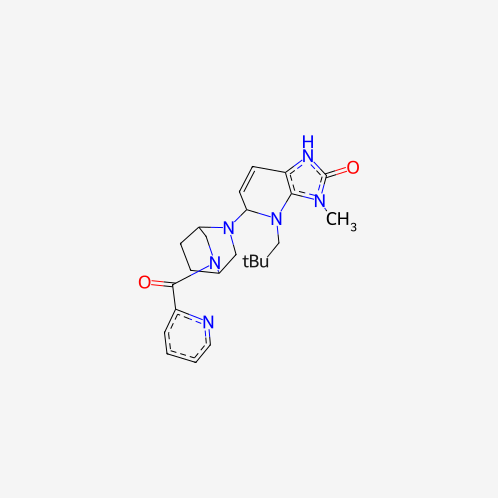 Cn1c2c([nH]c1=O)C=CC(N1CC3CCC1CN3C(=O)c1ccccn1)N2CC(C)(C)C